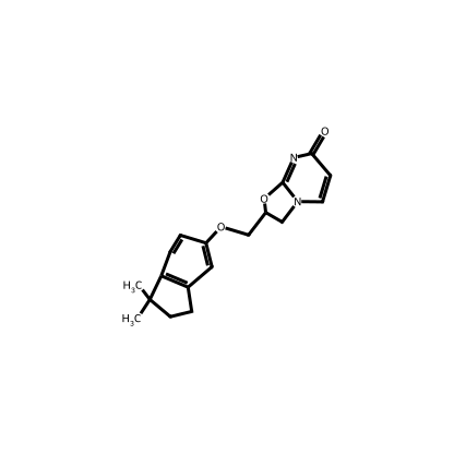 CC1(C)CCc2cc(OCC3Cn4ccc(=O)nc4O3)ccc21